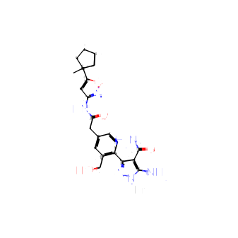 CC(C)n1nc(-c2ccc(CC(=O)Nc3cc(C4(C)CCCC4)on3)cc2CO)c(C(N)=O)c1N